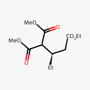 CCOC(=O)C[C@@H](CC)C(C(=O)OC)C(=O)OC